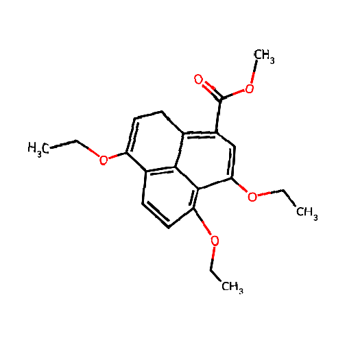 CCOC1=CCc2c(C(=O)OC)cc(OCC)c3c(OCC)ccc1c23